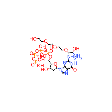 NC(O)COCCOCCOCCO.Nc1nc2c(ncn2[C@H]2C[C@H](O)[C@@H](COP(=O)(O)OP(=O)(O)OP(=O)(O)OP(=O)(O)O)O2)c(=O)[nH]1